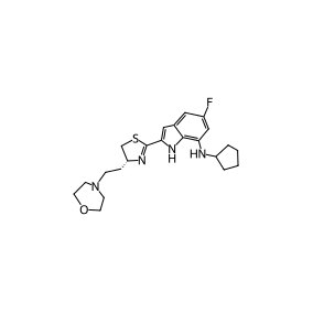 Fc1cc(NC2CCCC2)c2[nH]c(C3=N[C@H](CCN4CCOCC4)CS3)cc2c1